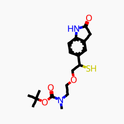 CN(CCOCC(S)c1ccc2c(c1)CC(=O)N2)C(=O)OC(C)(C)C